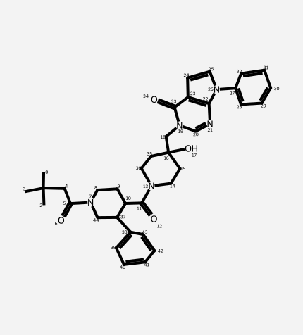 CC(C)(C)CC(=O)N1CCC(C(=O)N2CCC(O)(Cn3cnc4c(ccn4-c4ccccc4)c3=O)CC2)C(c2ccccc2)C1